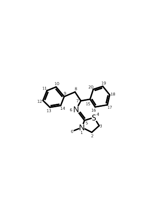 CN1CCS/C1=N\C(Cc1ccccc1)c1ccccc1